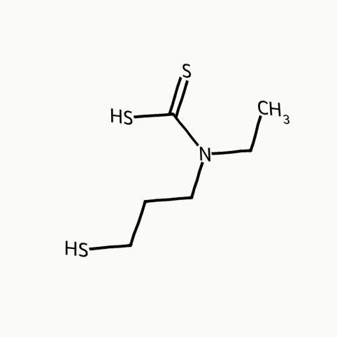 CCN(CCCS)C(=S)S